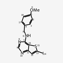 COc1ccc(CNc2ncnc3cc(I)sc23)cc1